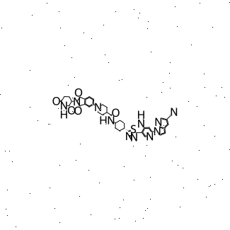 CNc1cc(-n2ccc3cc(C#N)cnc32)ncc1-c1nnc([C@H]2CC[C@H](NC(=O)C3CCN(c4ccc5c(c4)C(=O)N(C4CCC(=O)NC4=O)C5=O)CC3)CC2)s1